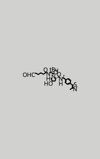 Cc1ncsc1-c1ccc([C@H](C)NC(=O)[C@@H]2C[C@@H](O)CN2C(=O)[C@@H](NC(=O)CCCCC=O)C(C)(C)C)cc1